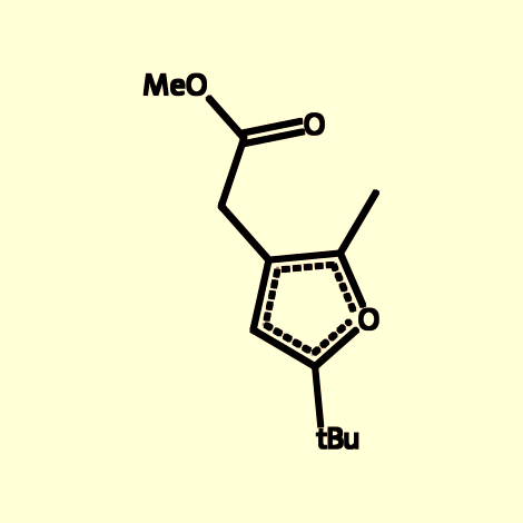 COC(=O)Cc1cc(C(C)(C)C)oc1C